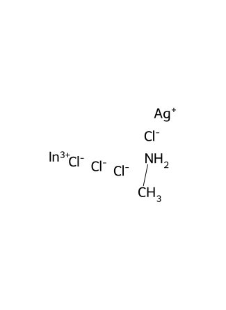 CN.[Ag+].[Cl-].[Cl-].[Cl-].[Cl-].[In+3]